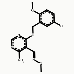 CO/N=C/c1c(N)ncnc1OCc1cc(Cl)ccc1OC